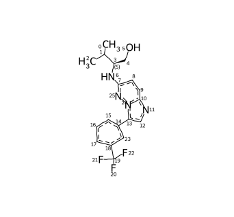 CC(C)[C@@H](CO)Nc1ccc2ncc(-c3cccc(C(F)(F)F)c3)n2n1